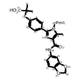 CCCCCn1c(-c2ccc(SC(C)(C)C(=O)O)cc2)nc(C(=O)Nc2ccc3c(c2)OCO3)c1C